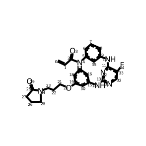 C=CC(=O)Nc1cccc(Nc2nc(Nc3cccc(OCCCN4CCCC4=O)c3)ncc2F)c1